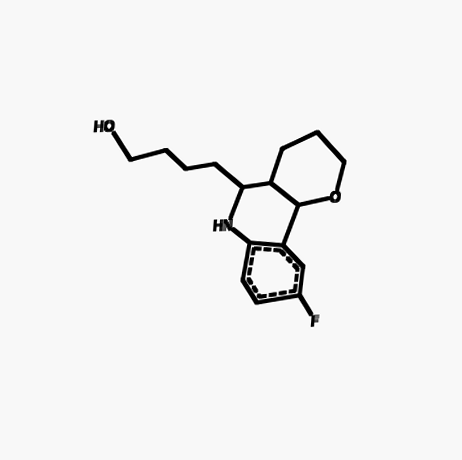 OCCCCC1Nc2ccc(F)cc2C2OCCCC12